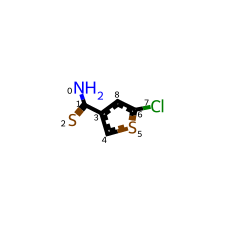 NC(=S)c1csc(Cl)c1